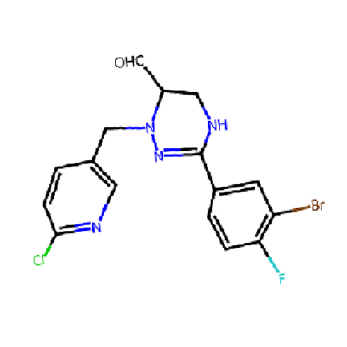 O=CC1CNC(c2ccc(F)c(Br)c2)=NN1Cc1ccc(Cl)nc1